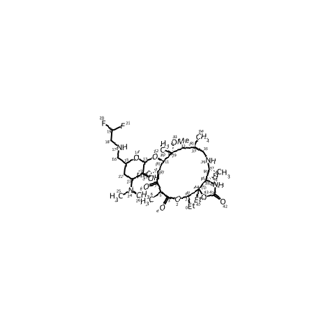 CC[C@H]1OC(=O)C(C)C(=O)[C@H](C)[C@@H](OC2OC(CNCC(F)F)CC(N(C)C)C2O)[C@](C)(OC)C[C@@H](C)CN[C@H](C)[C@H]2NC(=O)O[C@@]21CC